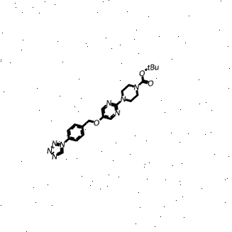 CC(C)(C)OC(=O)N1CCN(c2ncc(OCc3ccc(-n4cnnn4)cc3)cn2)CC1